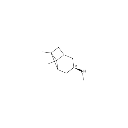 CN[C@@H]1CC2CC3(C)C(C1)C23C